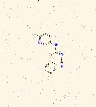 N#C/N=C(/Nc1ccc(Cl)nc1)Oc1ccccc1